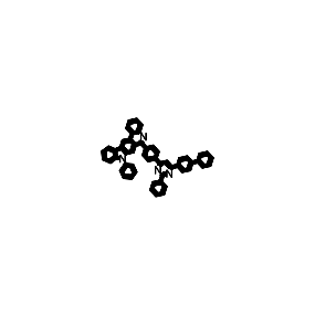 c1ccc(-c2ccc(-c3cc(-c4ccc(-c5nc6ccccc6c6cc7c8ccccc8n(-c8ccccc8)c7cc56)cc4)nc(-c4ccccc4)n3)cc2)cc1